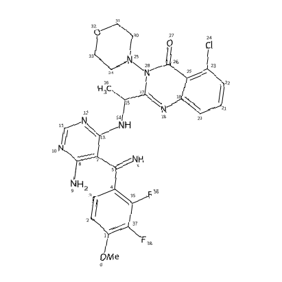 COc1ccc(C(=N)c2c(N)ncnc2NC(C)c2nc3cccc(Cl)c3c(=O)n2N2CCOCC2)c(F)c1F